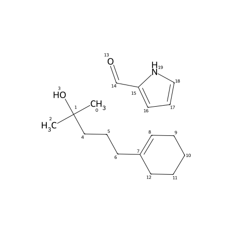 CC(C)(O)CCCC1=CCCCC1.O=Cc1ccc[nH]1